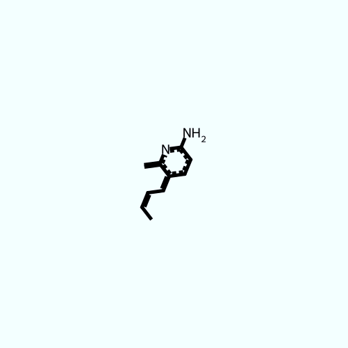 C=c1nc(N)cc/c1=C/C=C\C